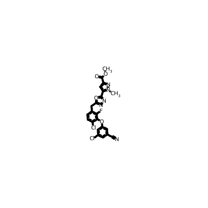 COC(=O)c1cc(-c2nnc(Cc3ccc(Cl)c(Oc4cc(Cl)cc(C#N)c4)c3F)o2)n(C)n1